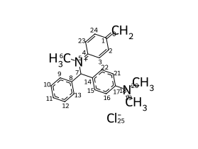 C=C1C=CC(=[N+](C)C(c2ccccc2)c2ccc(N(C)C)cc2)C=C1.[Cl-]